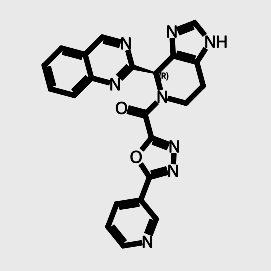 O=C(c1nnc(-c2cccnc2)o1)N1CCc2[nH]cnc2[C@@H]1c1ncc2ccccc2n1